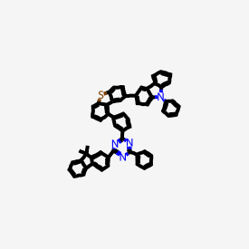 CC1(C)c2ccccc2-c2ccc(-c3nc(-c4ccccc4)nc(-c4cccc(-c5cccc6sc7ccc(-c8ccc9c(c8)c8ccccc8n9-c8ccccc8)cc7c56)c4)n3)cc21